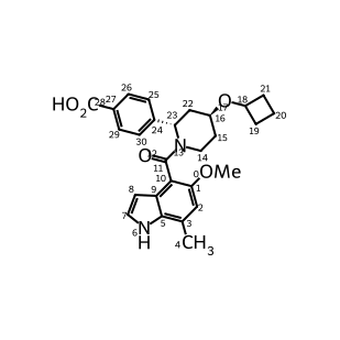 COc1cc(C)c2[nH]ccc2c1C(=O)N1CC[C@H](OC2CCC2)C[C@H]1c1ccc(C(=O)O)cc1